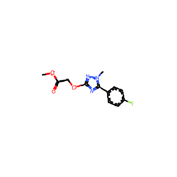 COC(=O)COc1nc(-c2ccc(F)cc2)n(C)n1